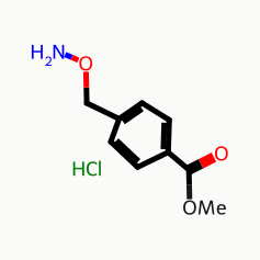 COC(=O)c1ccc(CON)cc1.Cl